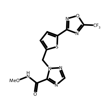 CONC(=O)c1ncnn1Cc1ccc(-c2noc(C(F)(F)F)n2)s1